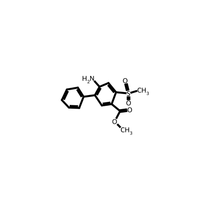 COC(=O)c1cc(-c2ccccc2)c(N)cc1S(C)(=O)=O